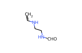 C=CNCCNC=O